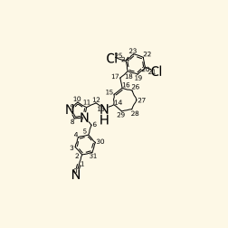 N#Cc1ccc(Cn2cncc2CNC2C=C(Cc3cc(Cl)ccc3Cl)CCCC2)cc1